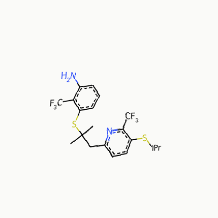 CC(C)Sc1ccc(CC(C)(C)Sc2cccc(N)c2C(F)(F)F)nc1C(F)(F)F